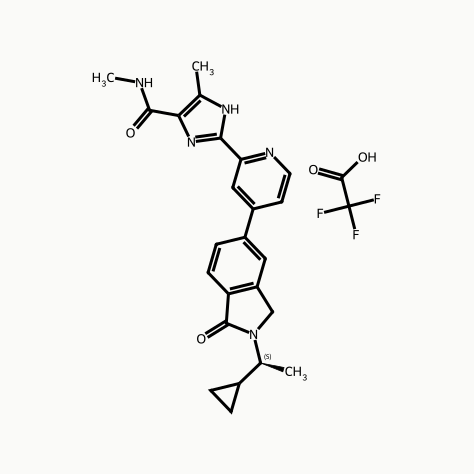 CNC(=O)c1nc(-c2cc(-c3ccc4c(c3)CN([C@@H](C)C3CC3)C4=O)ccn2)[nH]c1C.O=C(O)C(F)(F)F